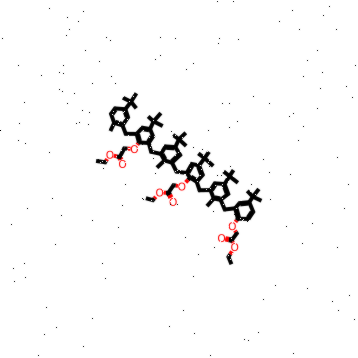 CCOC(=O)COc1ccc(C(C)(C)C)cc1Cc1cc(C(C)(C)C)cc(Cc2cc(C(C)(C)C)cc(Cc3cc(C(C)(C)C)cc(Cc4cc(C(C)(C)C)cc(Cc5cc(C(C)(C)C)ccc5C)c4OCC(=O)OCC)c3C)c2OCC(=O)OCC)c1C